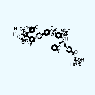 Cc1c(S(C)(=O)=O)c(-c2cc(F)cc(N3CCN(c4ccc(NS(=O)(=O)c5ccc(N[C@H](CCN6CCC(C(=O)OCCP(=O)(O)O)CC6)CSc6ccccc6F)c(S(=O)(=O)C(F)(F)F)c5)cc4)CC3)c2)c(-c2ccc(Cl)cc2)n1C(C)C